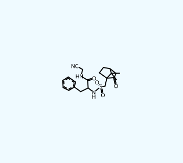 CC1(C)C2CCC1(CS(=O)(=O)NC(Cc1ccccc1)C(=O)NCC#N)C(=O)C2